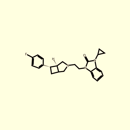 O=c1n(CCN2CC3C[C@H](c4ccc(F)cc4)[C@H]3C2)c2ccccc2n1C1CC1